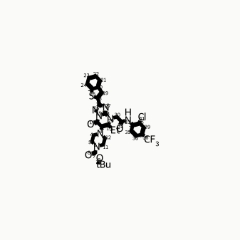 CCc1c(N2CCN(C(=O)OC(C)(C)C)CC2)c(=O)n2nc(-c3cc4ccccc4s3)nc2n1CC(=O)Nc1ccc(C(F)(F)F)cc1Cl